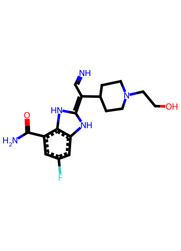 N=C/C(=C1/Nc2cc(F)cc(C(N)=O)c2N1)C1CCN(CCO)CC1